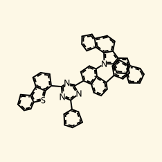 c1ccc(-c2nc(-c3ccc(-n4c5cc6ccccc6cc5c5ccc6ccccc6c54)c4c(-c5ccccc5)cccc34)nc(-c3cccc4c3sc3ccccc34)n2)cc1